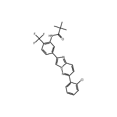 CC(C)(C)C(=O)Nc1cc(-c2cn3nc(-c4ccccc4Cl)ccc3n2)ccc1C(F)(F)F